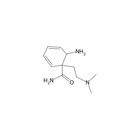 CN(C)CCC1(C(N)=O)C=CC=CC1N